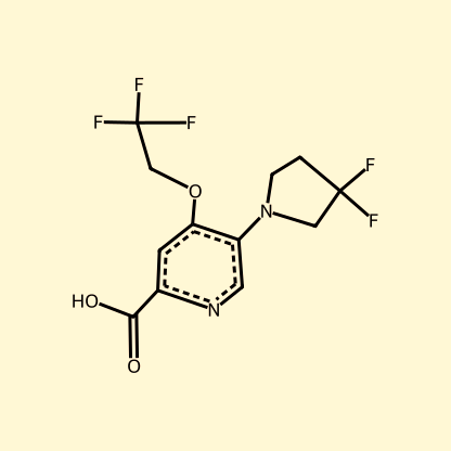 O=C(O)c1cc(OCC(F)(F)F)c(N2CCC(F)(F)C2)cn1